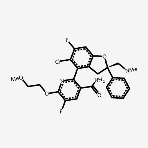 CNC[C@@]1(c2ccccc2)Cc2c(cc(F)c(Cl)c2-c2nc(OCCOC)c(F)cc2C(N)=O)O1